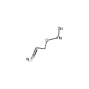 C=CCOPO